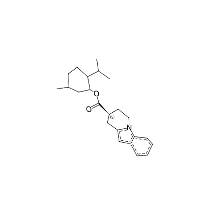 CC1CCC(C(C)C)C(OC(=O)[C@H]2CCn3c(cc4ccccc43)C2)C1